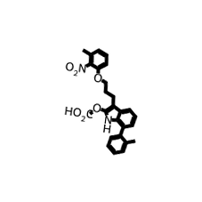 Cc1ccccc1-c1cccc2c(CCCOc3cccc(C)c3[N+](=O)[O-])c(OC(=O)O)[nH]c12